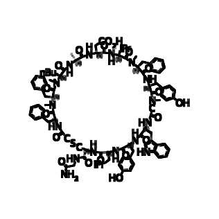 CCCC[C@H]1C(=O)N[C@H](C)C(=O)N[C@@H](CC(=O)O)C(=O)N[C@@H](C(C)C)C(=O)N(C)[C@@H](Cc2ccccc2)C(=O)N[C@@H](Cc2ccc(O)cc2)C(=O)N(C)CC(=O)N[C@@H](Cc2c[nH]c3ccccc23)C(=O)N[C@@H](Cc2ccc(O)cc2)C(=O)N[C@@H](CC(C)C)C(=O)N[C@H](C(=O)NCC(N)=O)CSCC(=O)N[C@@H](Cc2ccccc2)C(=O)N(C)[C@@H](Cc2ccccc2)C(=O)N1C